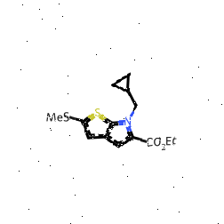 CCOC(=O)c1cc2cc(SC)sc2n1CC1CC1